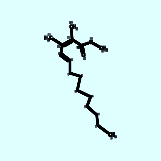 CCCCCCCCC=CC(C)=C(C)C(=O)OC